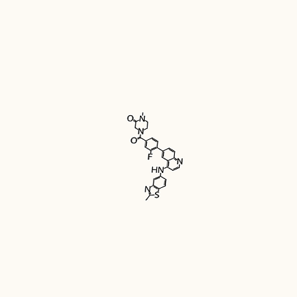 Cc1nc2cc(Nc3ccnc4ccc(-c5ccc(C(=O)N6CCN(C)C(=O)C6)cc5F)cc34)ccc2s1